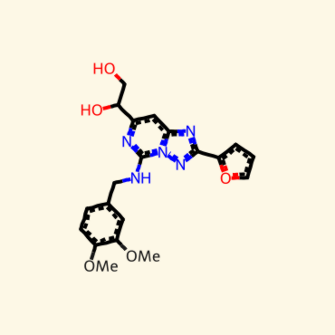 COc1ccc(CNc2nc(C(O)CO)cc3nc(-c4ccco4)nn23)cc1OC